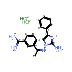 CC(=Nn1cc(-c2ccccc2)nc1N)c1cccc(C(=N)N)c1.Cl.Cl